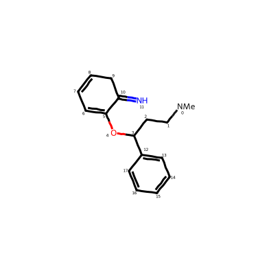 CNCCC(OC1=CC=CCC1=N)c1ccccc1